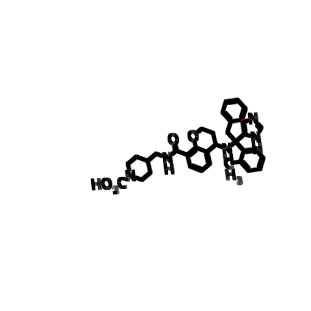 Cc1ccccc1C(Cc1ccccc1)(NC1CCOc2c(C(=O)NCC3CCN(C(=O)O)CC3)cccc21)c1cnc[nH]1